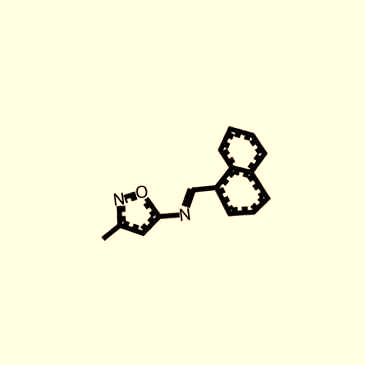 Cc1cc(N=Cc2cccc3ccccc23)on1